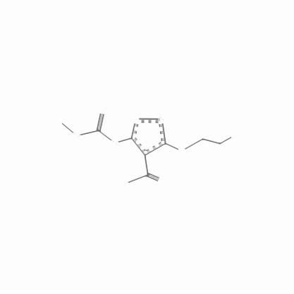 CCCSc1nsc(NC(=O)NC)c1C(=O)O